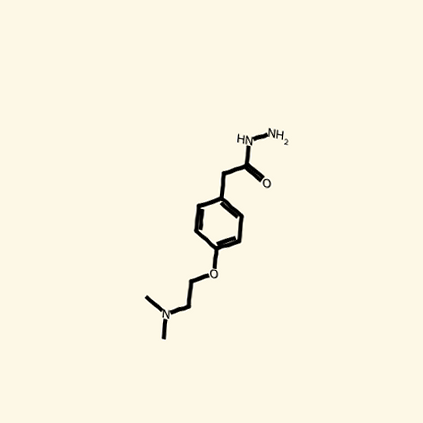 CN(C)CCOc1ccc(CC(=O)NN)cc1